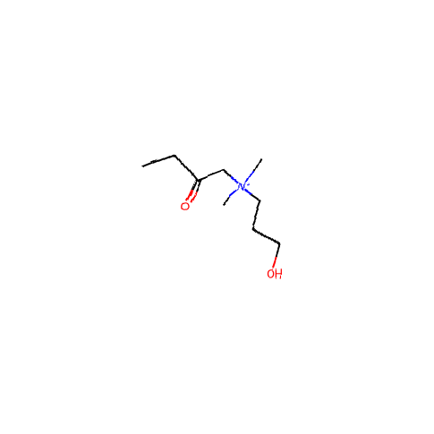 CCC(=O)C[N+](C)(C)CCCO